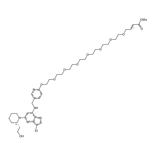 CCc1cnn2c(NCc3ccc(OCCOCCOCCOCCOCCOCCOCCOC/C=C/C(=O)OC)nc3)cc(N3CCCC[C@H]3CCO)nc12